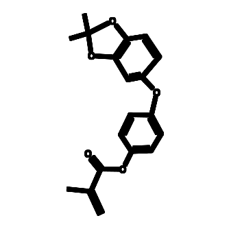 C=C(C)C(=O)Oc1ccc(Oc2ccc3c(c2)OC(C)(C)O3)cc1